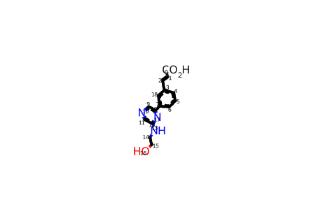 O=C(O)C=Cc1cccc(-c2cncc(NCCO)n2)c1